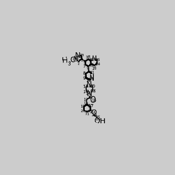 Cn1cc(-c2cc(-c3ccc(N4CCN(C(=O)Cc5cccc(OCCO)c5)CC4)nc3)c3cccnc3c2)cn1